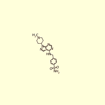 CN1CCC(n2ncc3c(NCc4ccc(S(N)(=O)=O)cc4)ncnc32)CC1